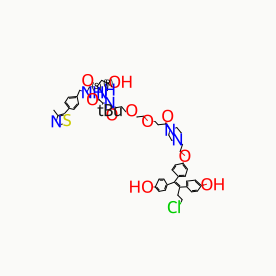 Cc1ncsc1-c1ccc(CNC(=O)[C@@H]2C[C@@H](O)CN2C(=O)C(NC(=O)CCOCCOCCC(=O)N2CCN(CCOc3ccc(C(=C(CCCl)c4ccc(O)cc4)c4ccc(O)cc4)cc3)CC2)C(C)(C)C)cc1